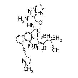 B/C(C#C)=C(B)/C(B)=C(/B)Cn1c([C@H](C)NC(=O)c2c(N)nn3cccnc23)cc2cccc(C#Cc3ccn(C)n3)c2c1=O